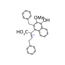 COc1c(Cc2ccccc2)c(/C(=C/Cc2ccccc2)C(=O)O)c2ccccc2c1O